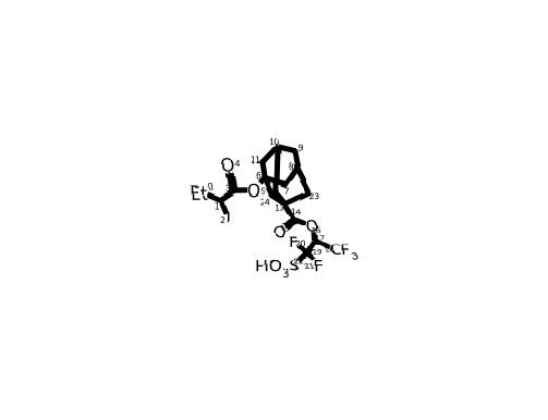 CCC(I)C(=O)OC12CC3CC(C1)CC(C(=O)OC(C(F)(F)F)C(F)(F)S(=O)(=O)O)(C3)C2